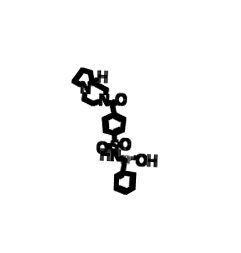 O=C(c1ccc(S(=O)(=O)N[C@H](CO)c2ccccc2)cc1)N1CCN2CCC[C@@H]2C1